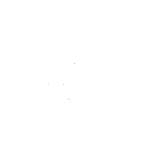 COC(=O)c1nc(Cl)cc2ccn(S(=O)(=O)c3ccc(C)cc3)c12